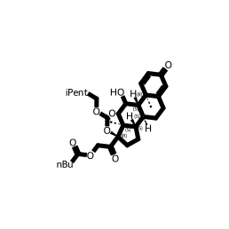 CCCCC(=O)OCC(=O)[C@@]1(OC(=O)OCC(C)CCC)CC[C@H]2[C@@H]3CCC4=CC(=O)C=C[C@]4(C)[C@H]3C(O)C[C@@]21C